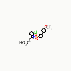 O=C(O)CCc1cn(S(=O)(=O)c2cccc(-c3ccc(OC(F)(F)F)cc3)c2)c2c(Cl)cccc12